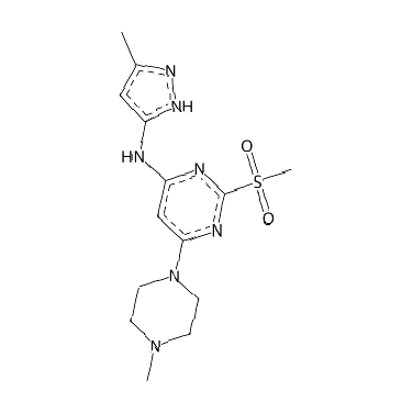 Cc1cc(Nc2cc(N3CCN(C)CC3)nc(S(C)(=O)=O)n2)[nH]n1